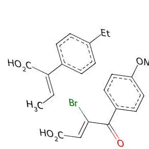 CC=C(C(=O)O)c1ccc(CC)cc1.COc1ccc(C(=O)C(Br)=CC(=O)O)cc1